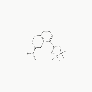 CC1(C)OB(c2cccc3c2CN(C(=O)O)CC3)OC1(C)C